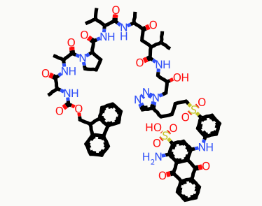 CC(NC(=O)C(NC(=O)C1CCCN1C(=O)C(C)NC(=O)C(C)NC(=O)OCC1c2ccccc2-c2ccccc21)C(C)C)C(=O)CC(C(=O)NCC(O)Cn1nncc1CCCCS(=O)(=O)c1cccc(Nc2cc(S(=O)(=O)O)c(N)c3c2C(=O)c2ccccc2C3=O)c1)C(C)C